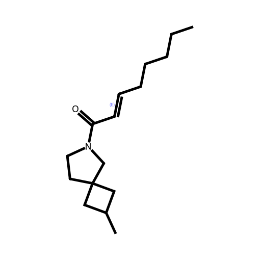 CCCCC/C=C/C(=O)N1CCC2(CC(C)C2)C1